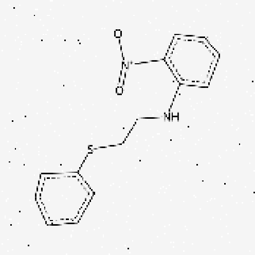 O=[N+]([O-])c1c[c]ccc1NCCSc1ccccc1